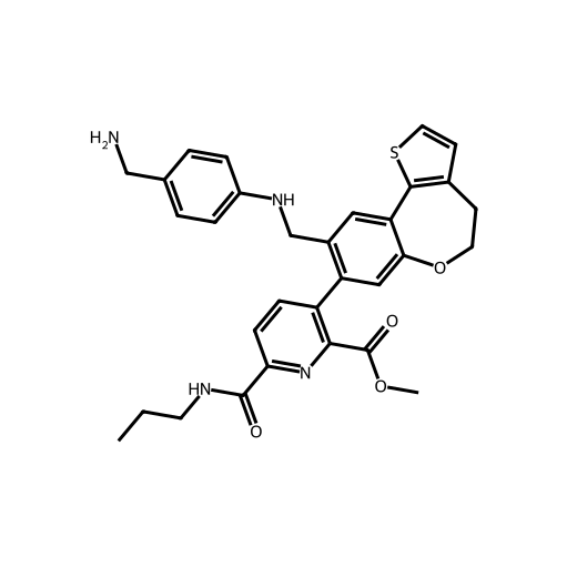 CCCNC(=O)c1ccc(-c2cc3c(cc2CNc2ccc(CN)cc2)-c2sccc2CCO3)c(C(=O)OC)n1